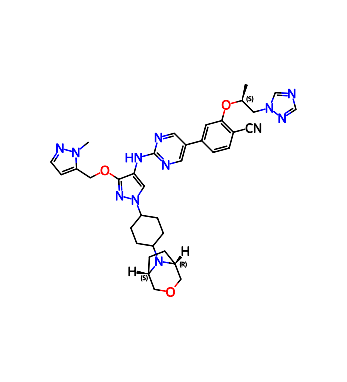 C[C@@H](Cn1cncn1)Oc1cc(-c2cnc(Nc3cn(C4CCC(N5[C@@H]6CC[C@H]5COC6)CC4)nc3OCc3ccnn3C)nc2)ccc1C#N